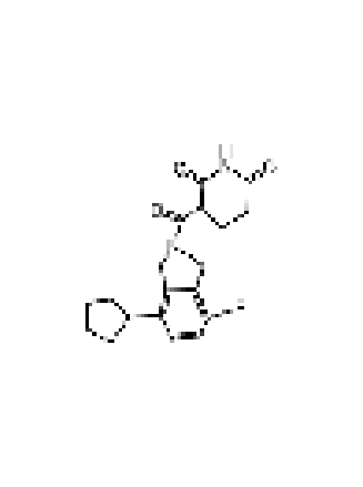 O=C1CCC(C(=O)N2Cc3c(F)ccc(C4CCCC4)c3C2)C(=O)N1